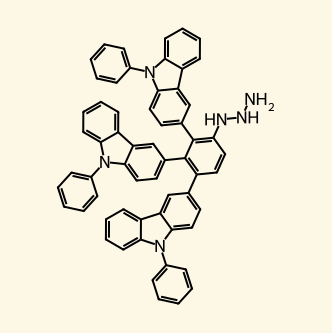 NNNc1ccc(-c2ccc3c(c2)c2ccccc2n3-c2ccccc2)c(-c2ccc3c(c2)c2ccccc2n3-c2ccccc2)c1-c1ccc2c(c1)c1ccccc1n2-c1ccccc1